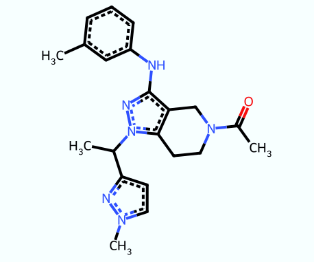 CC(=O)N1CCc2c(c(Nc3cccc(C)c3)nn2C(C)c2ccn(C)n2)C1